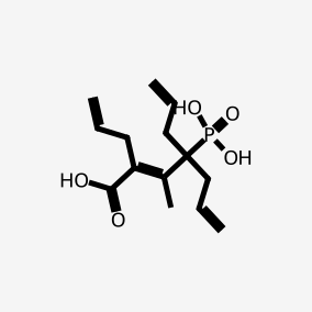 C=CC/C(C(=O)O)=C(/C)C(CC=C)(CC=C)P(=O)(O)O